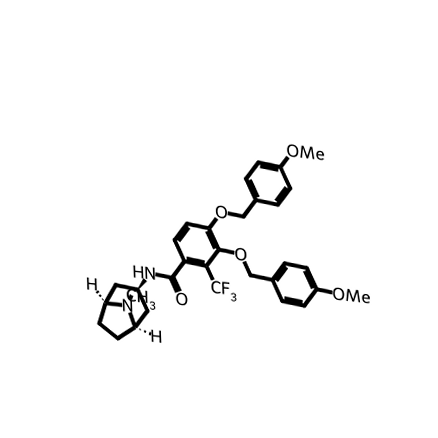 COc1ccc(COc2ccc(C(=O)N[C@H]3C[C@H]4CC[C@@H](C3)N4C)c(C(F)(F)F)c2OCc2ccc(OC)cc2)cc1